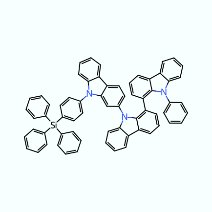 c1ccc(-n2c3ccccc3c3cccc(-c4cccc5c6ccccc6n(-c6ccc7c8ccccc8n(-c8ccc([Si](c9ccccc9)(c9ccccc9)c9ccccc9)cc8)c7c6)c45)c32)cc1